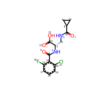 O=C(N[C@@H](CNC(=O)C1CC1)C(=O)O)c1c(F)cccc1Cl